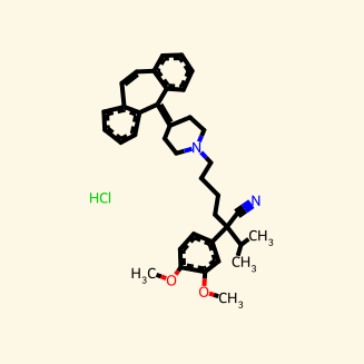 COc1ccc(C(C#N)(CCCCN2CCC(=C3c4ccccc4C=Cc4ccccc43)CC2)C(C)C)cc1OC.Cl